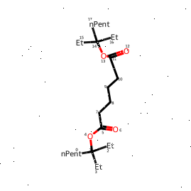 CCCCCC(CC)(CC)OC(=O)CCCCC(=O)OC(CC)(CC)CCCCC